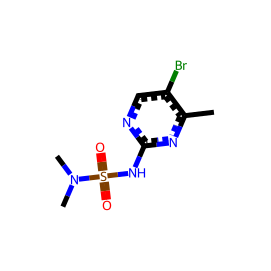 Cc1nc(NS(=O)(=O)N(C)C)ncc1Br